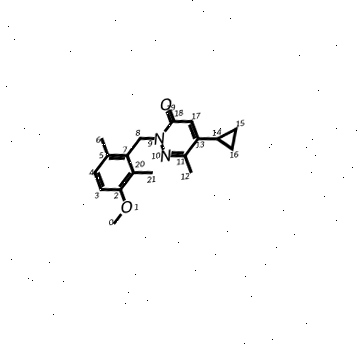 COc1ccc(C)c(Cn2nc(C)c(C3CC3)cc2=O)c1C